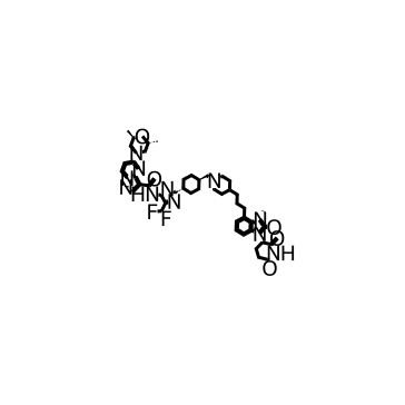 C[C@@H]1CN(c2ccn3ncc(C(=O)NC4=NC([C@H]5CC[C@H](CN6CCC(CCCc7cccc8c7n(C)c(=O)n8C7CCC(=O)NC7=O)CC6)CC5)N=C4C(F)F)c3n2)C[C@@H](C)O1